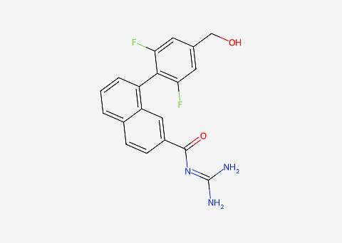 NC(N)=NC(=O)c1ccc2cccc(-c3c(F)cc(CO)cc3F)c2c1